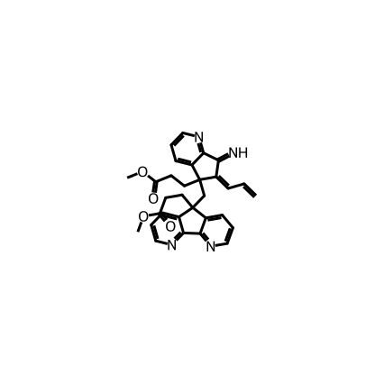 C=C/C=C1\C(=N)c2ncccc2C1(CCC(=O)OC)CC1(CCC(=O)OC)c2cccnc2-c2ncccc21